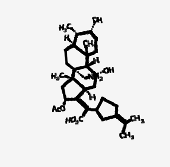 CC(=O)O[C@H]1C[C@@]2(C)[C@@H](C[C@@H](O)[C@H]3[C@@]4(C)CC[C@@H](O)[C@@H](C)[C@@H]4CC[C@@]32CN)/C1=C(/C(=O)O)C1CCC(=C(C)C)C1